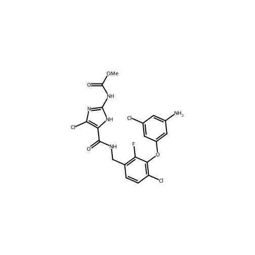 COC(=O)Nc1nc(Cl)c(C(=O)NCc2ccc(Cl)c(Oc3cc(N)cc(Cl)c3)c2F)[nH]1